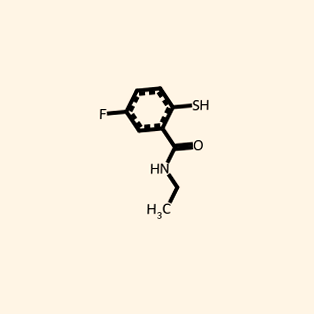 CCNC(=O)c1cc(F)ccc1S